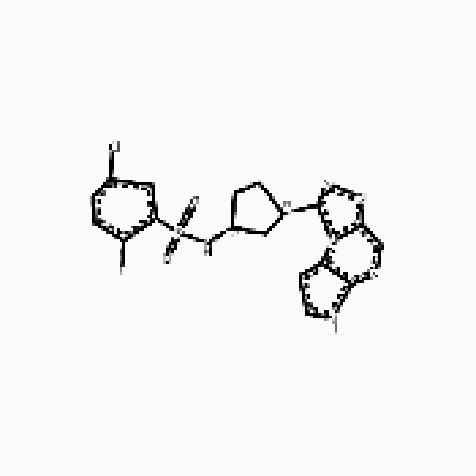 O=S(=O)(N[C@H]1CC[C@@H](c2nnc3cnc4[nH]ccc4n23)C1)c1cc(Cl)ccc1F